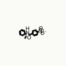 CC[C@@]1(NC(=O)c2ccc([N+](=O)[O-])cc2)C=CC=CC1